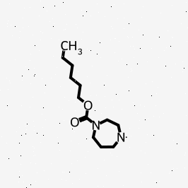 CCCCCCOC(=O)N1CCC[N]CC1